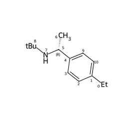 CCc1ccc([C@@H](C)NC(C)(C)C)cc1